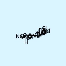 N#CCC(=O)NC1CCC(CCN2CCN(c3ccc(Cl)c(Cl)c3F)CC2)CC1